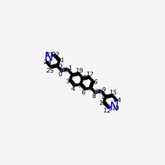 C(=C\c1ccc2cc(/C=C/c3ccncc3)ccc2c1)/c1ccncc1